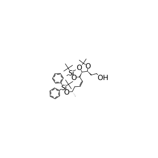 C[C@@H](C/C=C\C(O[Si](C)(C)C(C)(C)C)[C@H]1OC(C)(C)O[C@H]1CCO)O[Si](c1ccccc1)(c1ccccc1)C(C)(C)C